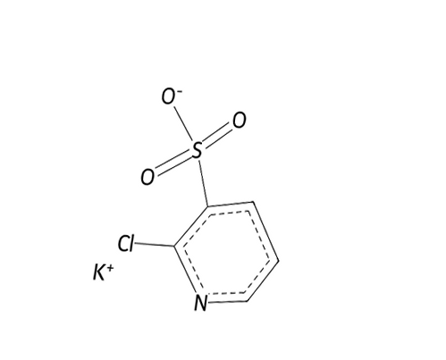 O=S(=O)([O-])c1cccnc1Cl.[K+]